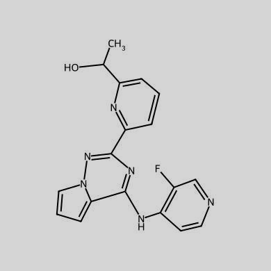 CC(O)c1cccc(-c2nc(Nc3ccncc3F)c3cccn3n2)n1